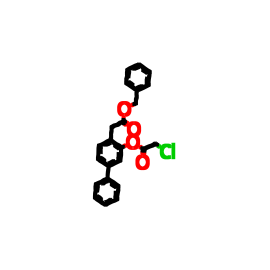 O=C(Cc1ccc(-c2ccccc2)cc1OC(=O)CCl)OCc1ccccc1